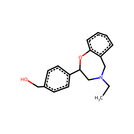 CCN1Cc2ccccc2OC(c2ccc(CO)cc2)C1